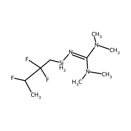 CC(F)C(F)(F)C[SiH2]N=C(N(C)C)N(C)C